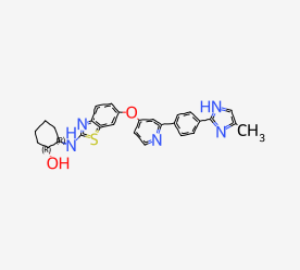 Cc1c[nH]c(-c2ccc(-c3cc(Oc4ccc5nc(N[C@@H]6CCCC[C@H]6O)sc5c4)ccn3)cc2)n1